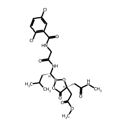 CNC(=O)C[C@@]1(CC(=O)OC)OB([C@H](CC(C)C)NC(=O)CNC(=O)c2cc(Cl)ccc2Cl)OC1=O